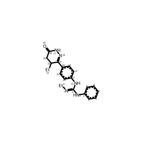 CCN=C(Nc1ccccc1)Nc1ccc(C2=NNC(=O)CC2CC)cc1